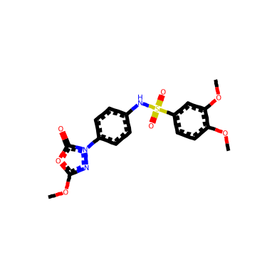 COc1nn(-c2ccc(NS(=O)(=O)c3ccc(OC)c(OC)c3)cc2)c(=O)o1